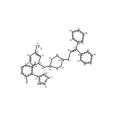 Cc1cccc(C)c1-n1nnnc1[C@H](C1C=C(C(F)(F)F)C=CC1)N1CCN(CC=C(c2ccccc2)c2ccccc2)CC1